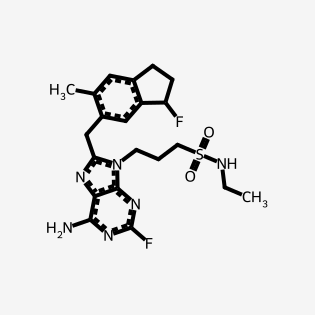 CCNS(=O)(=O)CCCn1c(Cc2cc3c(cc2C)CCC3F)nc2c(N)nc(F)nc21